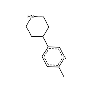 Cc1ccc(C2CCNCC2)cn1